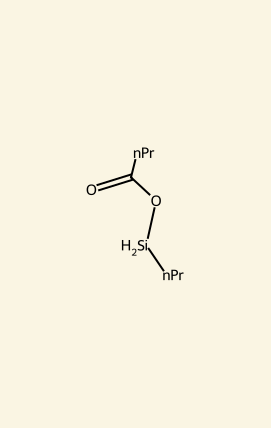 CCC[SiH2]OC(=O)CCC